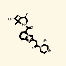 CC[C@@H]1C[C@H]([C@@H](C)CNC(=O)c2cccc3nc(CC(=O)N4CCNC[C@H]4C(C)C)cn23)C1(C)C